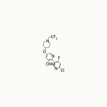 COc1cc(OC2CCN(CC(F)(F)F)CC2)cnc1-c1cnc(Cl)cc1F